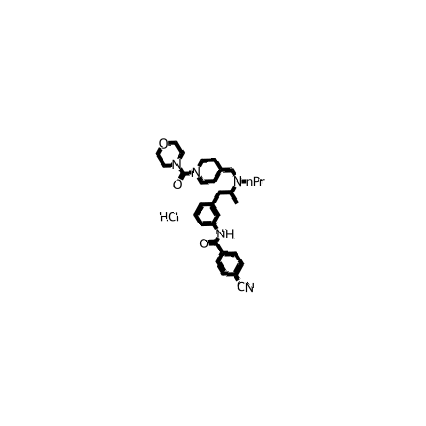 CCCN(CC1CCN(C(=O)N2CCOCC2)CC1)C(C)Cc1cccc(NC(=O)c2ccc(C#N)cc2)c1.Cl